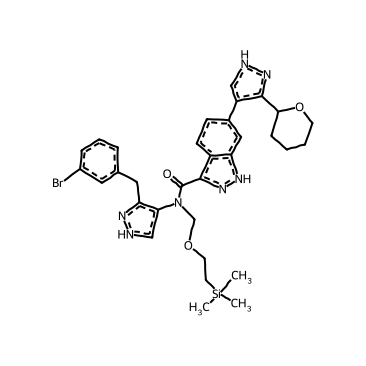 C[Si](C)(C)CCOCN(C(=O)c1n[nH]c2cc(-c3c[nH]nc3C3CCCCO3)ccc12)c1c[nH]nc1Cc1cccc(Br)c1